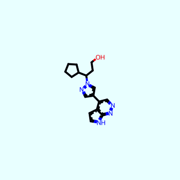 OCCC(C1CCCC1)n1cc(-c2cnnc3[nH]ccc23)cn1